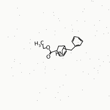 CCOC(=O)C1CC2C=CC1NC2Cc1ccccc1